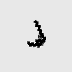 CCCCCCCCN/N=N\c1ccc(CCCC)cc1